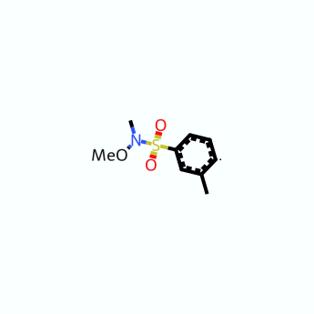 CON(C)S(=O)(=O)c1cc[c]c(C)c1